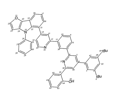 CC(C)(C)c1cc(-c2cc(-c3cccc(-c4cc(-c5cccc6c7occc7n(-c7ccccc7)c56)ccn4)c3)nc(-c3ccccc3O)c2)cc(C(C)(C)C)c1